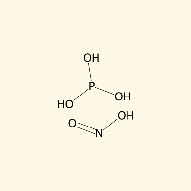 O=NO.OP(O)O